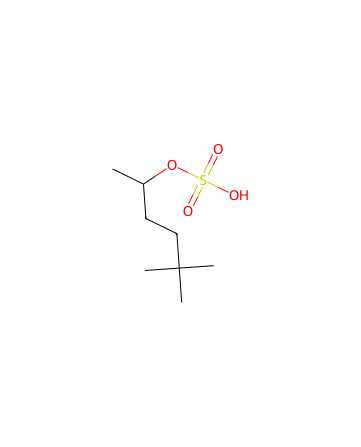 CC(CCC(C)(C)C)OS(=O)(=O)O